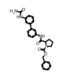 NC(=O)Nc1cccc(-c2cccc(NC(=O)C3CCCN3C(=O)OCc3ccccc3)c2)c1